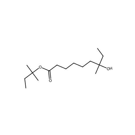 CCC(C)(O)CCCCCC(=O)OC(C)(C)CC